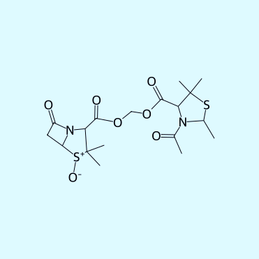 CC(=O)N1C(C)SC(C)(C)C1C(=O)OCOC(=O)C1N2C(=O)CC2[S+]([O-])C1(C)C